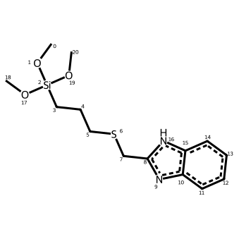 CO[Si](CCCSCc1nc2ccccc2[nH]1)(OC)OC